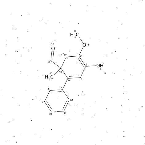 COC1=C(O)C=C(c2ccccc2)C(C)(C=O)C1